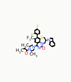 C=CC(=O)N1[C@H](C)CN(c2nc(=O)n3c4c(c(-c5ccc(F)cc5F)c(C(F)(F)F)cc24)SCC(n2ccc4ccccc42)C3)C[C@@H]1C